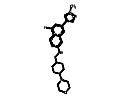 Cn1cc(-c2cc(F)c3cnc(NCC4CCC(N5CCOCC5)CC4)cc3c2)cn1